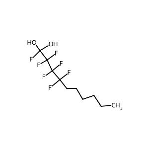 CCCCCCC(F)(F)C(F)(F)C(F)(F)C(O)(O)F